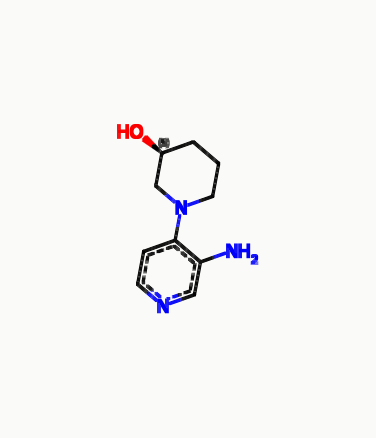 Nc1cnccc1N1CCC[C@H](O)C1